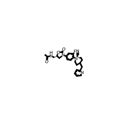 CC(=O)NC[C@H]1CN(c2ccc([N+]3(C#N)CCC(Cc4ccccn4)CC3)c(F)c2)C(=O)O1